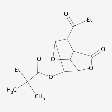 CCC(=O)C1C2OC3C(OC(=O)C31)C2OC(=O)C(C)(C)CC